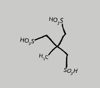 CC(CS(=O)(=O)O)(CS(=O)(=O)O)CS(=O)(=O)O